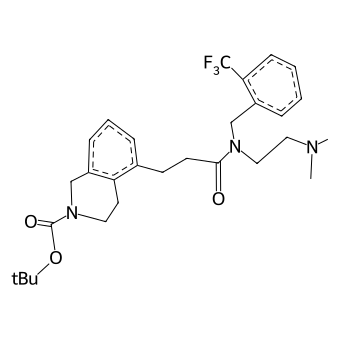 CN(C)CCN(Cc1ccccc1C(F)(F)F)C(=O)CCc1cccc2c1CCN(C(=O)OC(C)(C)C)C2